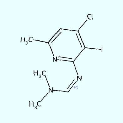 Cc1cc(Cl)c(I)c(/N=C\N(C)C)n1